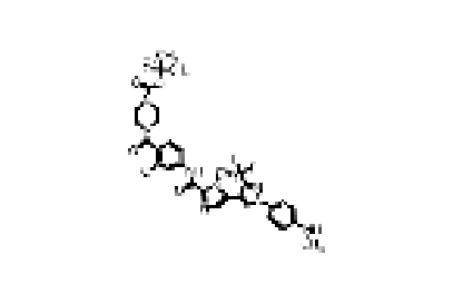 CNc1ccc(-n2cc(-c3cnc(C(=O)Nc4ccc(C(=O)N5CCN(C(=O)OC(C)(C)C)CC5)c(Cl)c4)n3C)c(C(F)(F)F)n2)nc1